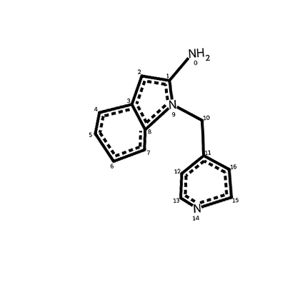 Nc1cc2ccccc2n1Cc1ccncc1